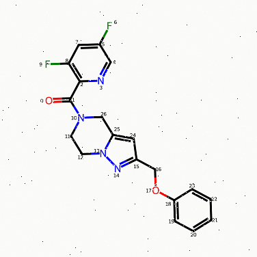 O=C(c1ncc(F)cc1F)N1CCn2nc(COc3ccccc3)cc2C1